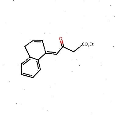 CCOC(=O)CC(=O)C=C1C=CCc2ccccc21